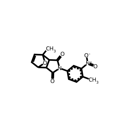 Cc1ccc(N2C(=O)C3C4C=CC(C)(O4)C3C2=O)cc1[N+](=O)[O-]